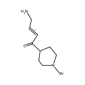 CC(C)N1CCN(C(=O)/C=C/CN)CC1